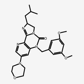 COc1cc(CN2C(=O)N3CC(CC(C)C)N=C3c3ncc(N4CCOCC4)cc32)cc(OC)c1